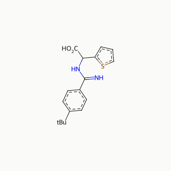 CC(C)(C)c1ccc(C(=N)NC(C(=O)O)c2cccs2)cc1